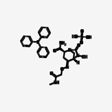 CNC(=O)CON=C1C[C@@H](C(N)=O)N2C[C@@H]1N(O)C2=O.O=S(=O)(O)O.c1ccc(P(c2ccccc2)c2ccccc2)cc1